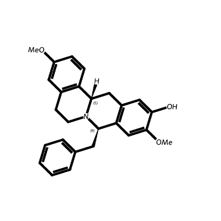 COc1ccc2c(c1)CCN1[C@H](Cc3ccccc3)c3cc(OC)c(O)cc3C[C@@H]21